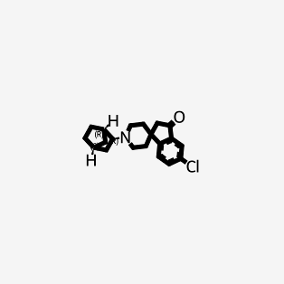 O=C1CC2(CCN([C@@H]3C[C@H]4CC[C@@H]3C4)CC2)c2ccc(Cl)cc21